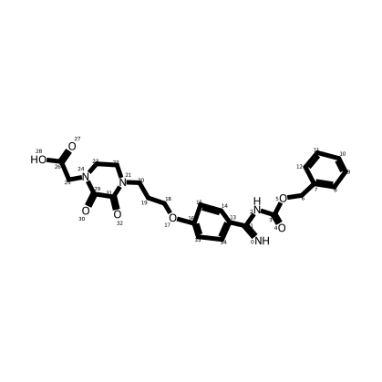 N=C(NC(=O)OCc1ccccc1)c1ccc(OCCCN2CCN(CC(=O)O)C(=O)C2=O)cc1